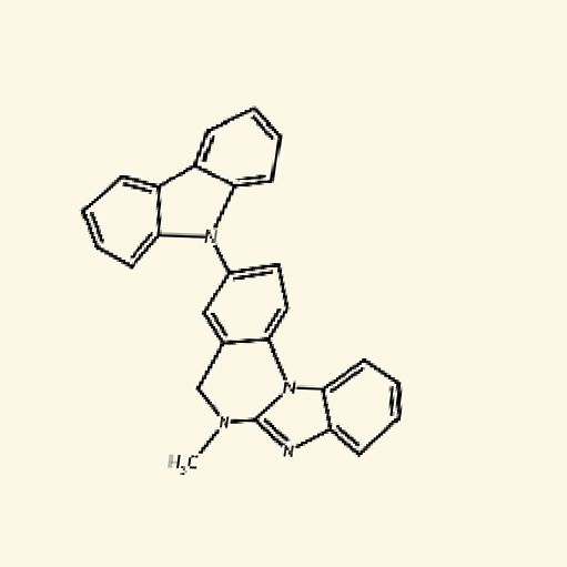 CN1Cc2cc(-n3c4ccccc4c4ccccc43)ccc2-n2c1nc1ccccc12